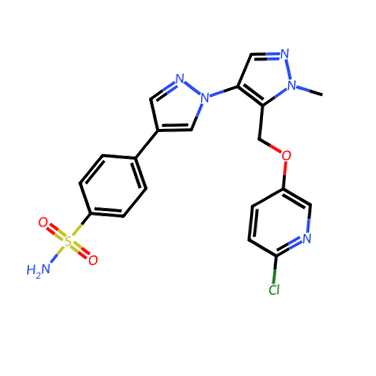 Cn1ncc(-n2cc(-c3ccc(S(N)(=O)=O)cc3)cn2)c1COc1ccc(Cl)nc1